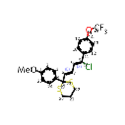 COc1ccc(C2(/C=C/C=C(\Cl)c3ccc(OC(F)(F)F)cc3)SCCCS2)cc1